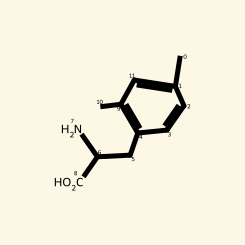 Cc1ccc(CC(N)C(=O)O)c(C)c1